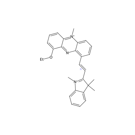 CCOc1cccc2c1nc1c(/C=C/C3=[N+](C)c4ccccc4C3(C)C)cccc1[n+]2C